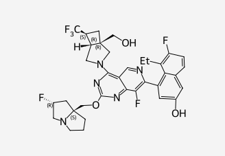 CCc1c(F)ccc2cc(O)cc(-c3ncc4c(N5C[C@@H]6[C@@H](C(F)(F)F)C[C@]6(CO)C5)nc(OC[C@@]56CCCN5C[C@H](F)C6)nc4c3F)c12